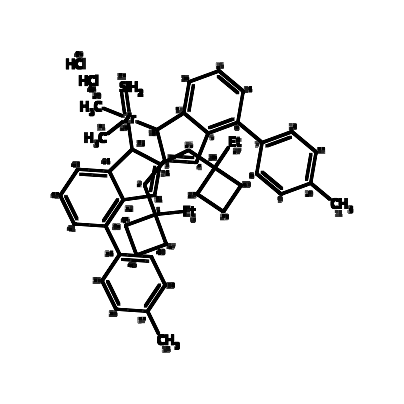 CCC1(CC2=Cc3c(-c4ccc(C)cc4)cccc3[CH]2[Zr]([CH3])([CH3])(=[SiH2])[CH]2C(CC3(CC)CCC3)=Cc3c(-c4ccc(C)cc4)cccc32)CCC1.Cl.Cl